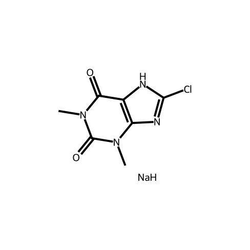 Cn1c(=O)c2[nH]c(Cl)nc2n(C)c1=O.[NaH]